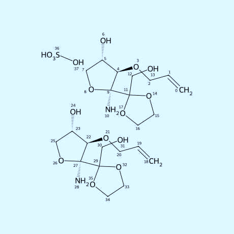 C=CCO[C@@H]1[C@@H](O)CO[C@]1(N)C1(CO)OCCO1.C=CCO[C@@H]1[C@@H](O)CO[C@]1(N)C1(CO)OCCO1.O=S(=O)(O)O